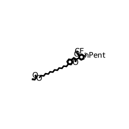 C=CC(=O)OCCCCCCCCCCCCc1ccc2cc(-c3ccc(CCCCC)cc3OC(F)(F)F)oc2c1